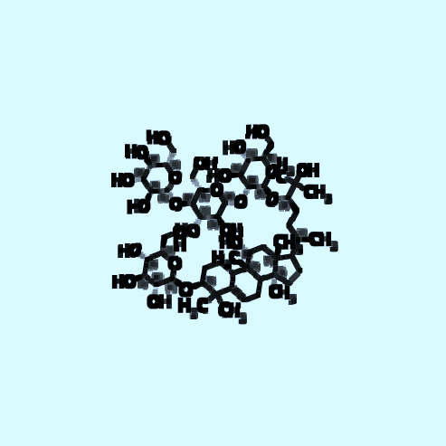 C[C@H](CC[C@@H](O[C@@H]1O[C@H](CO)[C@@H](O)[C@H](O)[C@H]1O[C@H]1O[C@@H](CO)[C@H](O[C@H]2O[C@@H](CO)[C@H](O)[C@@H](O)[C@@H]2O)[C@@H](O)[C@@H]1O)C(C)(C)O)C1CC[C@@]2(C)C3CC=C4C(CC[C@H](O[C@@H]5O[C@H](CO)[C@@H](O)[C@H](O)[C@H]5O)C4(C)C)[C@]3(C)[C@H](O)C[C@]12C